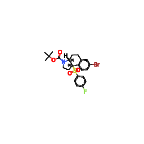 CC(C)(C)OC(=O)N1CC[C@@]2(S(=O)(=O)c3ccc(F)cc3)c3ccc(Br)cc3CC[C@@H]12